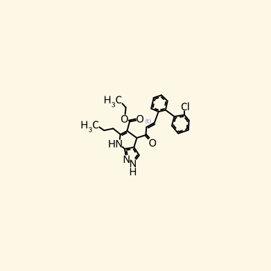 CCCC1=C(C(=O)OCC)C(C(=O)/C=C/c2ccccc2-c2ccccc2Cl)c2c[nH]nc2N1